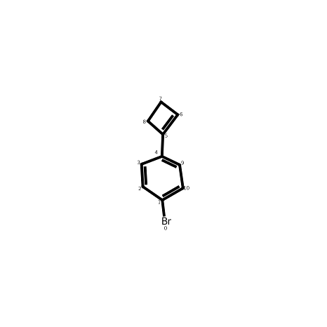 Brc1ccc(C2=CCC2)cc1